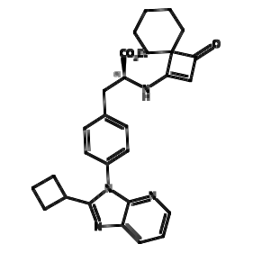 CCOC(=O)[C@H](Cc1ccc(-n2c(C3CCC3)nc3cccnc32)cc1)NC1=CC(=O)C12CCCCC2